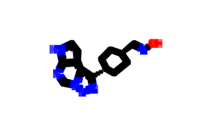 ON=C[C@H]1CC[C@H](c2nnn3cnc4[nH]ccc4c23)CC1